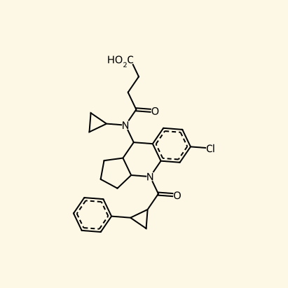 O=C(O)CCC(=O)N(C1CC1)C1c2ccc(Cl)cc2N(C(=O)C2CC2c2ccccc2)C2CCCC21